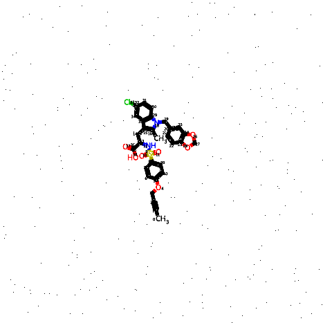 CC#CCOc1ccc(S(=O)(=O)NC(Cc2c(C)n(Cc3ccc4c(c3)OCO4)c3ccc(Cl)cc23)C(=O)O)cc1